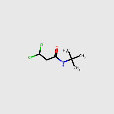 CC(C)(C)NC(=O)[CH]C(Cl)Cl